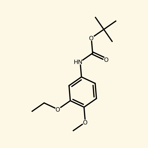 CCOc1cc(NC(=O)OC(C)(C)C)ccc1OC